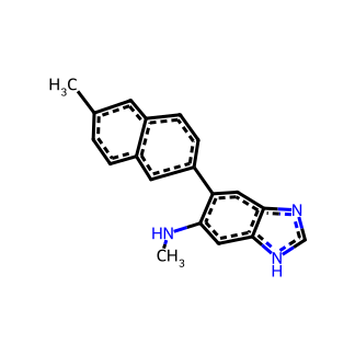 CNc1cc2[nH]cnc2cc1-c1ccc2cc(C)ccc2c1